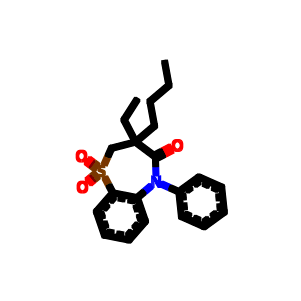 CCCCC1(CC)CS(=O)(=O)c2ccccc2N(c2ccccc2)C1=O